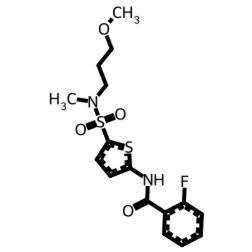 COCCCN(C)S(=O)(=O)c1ccc(NC(=O)c2ccccc2F)s1